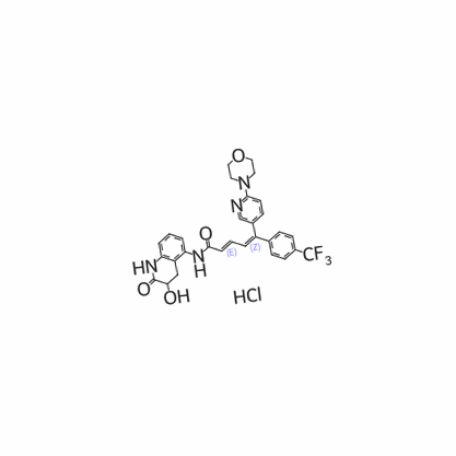 Cl.O=C(/C=C/C=C(/c1ccc(C(F)(F)F)cc1)c1ccc(N2CCOCC2)nc1)Nc1cccc2c1CC(O)C(=O)N2